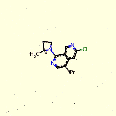 [CH2][C@H]1CCN1c1ncc(C(C)C)c2cc(Cl)ncc12